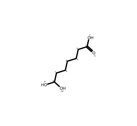 O=C(O)CCCCCC(O)O